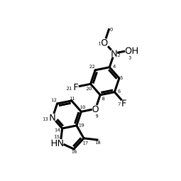 CON(O)c1cc(F)c(Oc2ccnc3[nH]cc(C)c23)c(F)c1